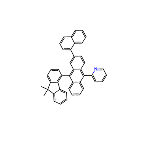 CC1(C)c2ccccc2-c2c(-c3c4ccccc4c(-c4ccccn4)c4ccc(-c5cccc6ccccc56)cc34)cccc21